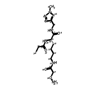 Cn1nnc(CNC(=O)[C@H](CCCCNC(=O)CON)NC(=O)CI)n1